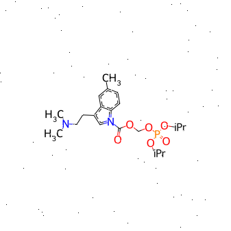 Cc1ccc2c(c1)c(CCN(C)C)cn2C(=O)OCOP(=O)(OC(C)C)OC(C)C